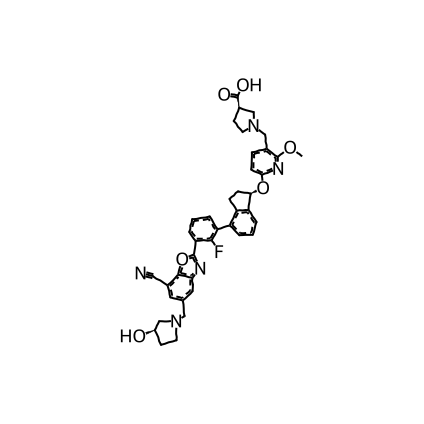 COc1nc(O[C@@H]2CCc3c(-c4cccc(-c5nc6cc(CN7CC[C@@H](O)C7)cc(C#N)c6o5)c4F)cccc32)ccc1CN1CC[C@@H](C(=O)O)C1